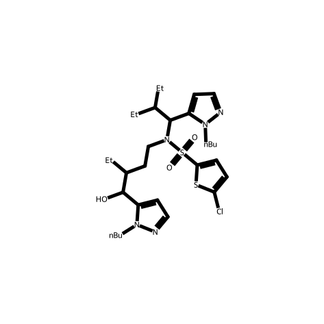 CCCCn1nccc1C(O)C(CC)CCN(C(c1ccnn1CCCC)C(CC)CC)S(=O)(=O)c1ccc(Cl)s1